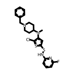 CN(c1cc(SNc2cccc(F)n2)sc1Cl)C1CCN(Cc2ccccc2)CC1